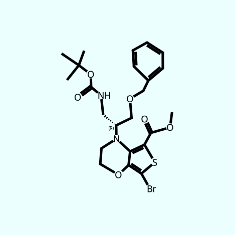 COC(=O)c1sc(Br)c2c1N([C@H](CNC(=O)OC(C)(C)C)COCc1ccccc1)CCO2